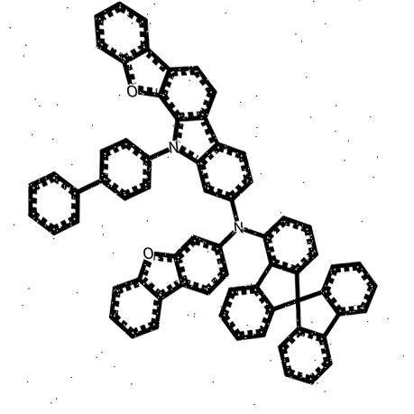 c1ccc(-c2ccc(-n3c4cc(N(c5ccc6c(c5)oc5ccccc56)c5cccc6c5-c5ccccc5C65c6ccccc6-c6ccccc65)ccc4c4ccc5c6ccccc6oc5c43)cc2)cc1